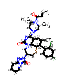 C=CC(=O)N1[C@H](C)CN(c2nc(=O)n3c4c(c(-c5ccc(F)cc5F)c(C(F)(F)F)cc24)SCC(n2nc4ccccn4c2=O)C3)C[C@@H]1C